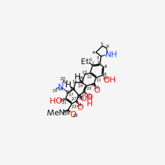 CCc1c(C2CCCN2)cc(O)c2c1C[C@H]1C[C@H]3[C@H](N(C)C)C(O)=C(C(=O)NC)C(=O)[C@@]3(O)C(O)=C1C2=O